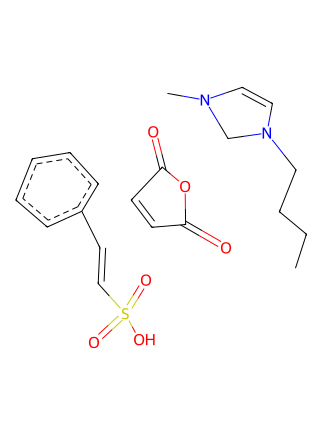 CCCCN1C=CN(C)C1.O=C1C=CC(=O)O1.O=S(=O)(O)C=Cc1ccccc1